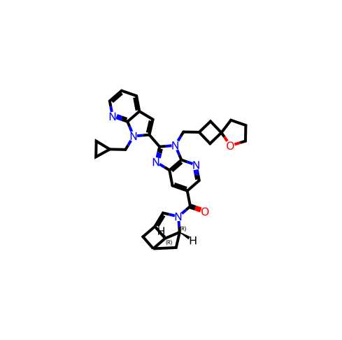 O=C(c1cnc2c(c1)nc(-c1cc3cccnc3n1CC1CC1)n2CC1CC2(CCCO2)C1)N1C=C2CC3C[C@@H]1[C@@H]23